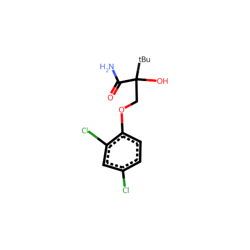 CC(C)(C)C(O)(COc1ccc(Cl)cc1Cl)C(N)=O